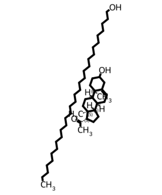 CC(=O)[C@H]1CC[C@H]2[C@@H]3CC=C4CC(O)CC[C@]4(C)[C@H]3CC[C@]12C.CCCCCCCCCCCCCCCCCCCCCCCCCCCCCCO